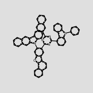 c1ccc(-n2c3ccccc3c3c(-c4nc(-c5ccc6ccccc6c5)nc(-c5cc6c(cc5-n5c7ccccc7c7cc8ccccc8cc75)oc5c7ccccc7ccc65)n4)cccc32)cc1